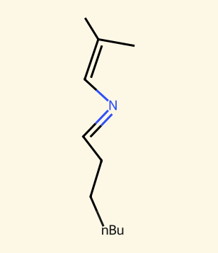 CCCCCCC=NC=C(C)C